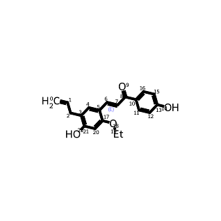 C=CCc1cc(/C=C/C(=O)c2ccc(O)cc2)c(OCC)cc1O